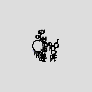 CC1(S(=O)(=O)NC(=O)[C@@]23C[C@H]2/C=C\CCCCC[C@H](NC(=O)c2cncs2)C(=O)N2C[C@H](Oc4nc5cc(OC(F)(F)F)ccc5c5ccc(F)cc45)C[C@H]2C(=O)N3)CC1